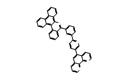 c1cc(-c2ccc(-c3cc4cccnc4c4ncccc34)cn2)cc(-c2nc3c4ccccc4c4ccccc4c3c3ccccc23)c1